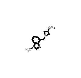 COC1CN(Cc2cccc3c2ncn3C)C1